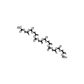 CC(COC(=O)OC(C)COC(=O)OC(C)COC(=O)C(C)(C)C)OC(=O)OCC(C)OC(=O)OCC(C)OC(=O)OCC(C)OC(C)(C)C